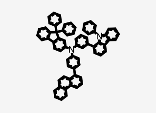 c1ccc(-n2c3ccccc3c3cccc(-c4cccc(N(c5ccc(-c6cccc7c6ccc6ccccc67)cc5)c5ccc6c(c5)C(c5ccccc5)(c5ccccc5)c5ccccc5-6)c4)c32)cc1